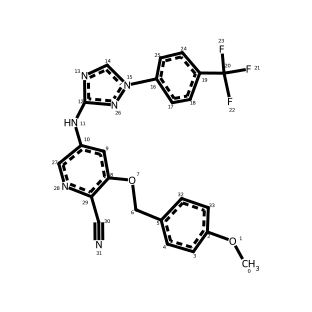 COc1ccc(COc2cc(Nc3ncn(-c4ccc(C(F)(F)F)cc4)n3)cnc2C#N)cc1